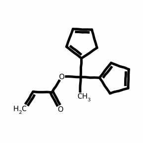 C=CC(=O)OC(C)(C1=CC=CC1)C1=CC=CC1